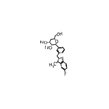 CC1c2cc(F)ccc2SC1Cc1cccc(C2OC(CO)CC(O)[C@H]2O)c1